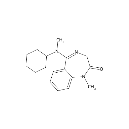 CN1C(=O)CN=C(N(C)C2CCCCC2)c2ccccc21